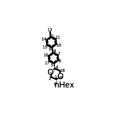 CCCCCC[C@@H]1CO[C@@H](c2ccc(-c3ccc(C)cc3)cc2)CO1